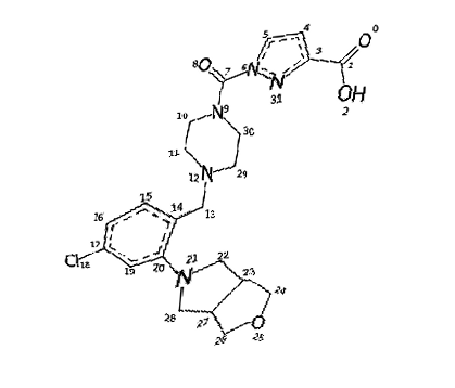 O=C(O)c1ccn(C(=O)N2CCN(Cc3ccc(Cl)cc3N3CC4COCC4C3)CC2)n1